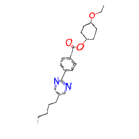 CCCCCc1cnc(-c2ccc(C(=O)OC3CCC(OCC)CC3)cc2)nc1